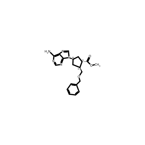 COC(=O)[C@H]1C[C@H](n2cnc3c(N)ncnc32)C[C@@H]1COCc1ccccc1